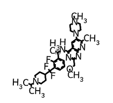 COCc1nc(N[C@H](C)c2cccc(C(F)(F)C3CCN(C(C)C)CC3)c2F)c2cc(N3CCN(C)CC3)c(C)nc2n1